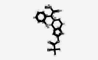 CCC(C)(C)C(=O)Oc1cc2c(s1)CCN(C(C(=O)OC)c1ccccc1Cl)C2